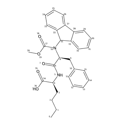 CCCC[C@H](NC(=O)[C@H](Cc1ccccc1)N(C(=O)OC)C1c2ccccc2-c2ccccc21)C(=O)O